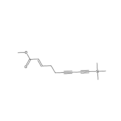 COC(=O)C=CCCC#CC#C[Si](C)(C)C